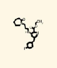 CCOC(=O)c1ncc(Cc2ccc(F)cc2)cc1NCCCN1CCCCCC1=O